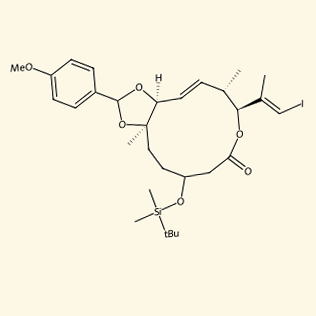 COc1ccc(C2O[C@H]3/C=C/[C@H](C)[C@@H](/C(C)=C/I)OC(=O)CC(O[Si](C)(C)C(C)(C)C)CC[C@@]3(C)O2)cc1